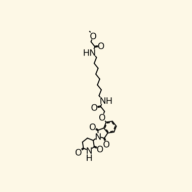 COCC(=O)NCCCCCCCCNC(=O)COc1cccc2c1C(=O)N(C1CCC(=O)NC1=O)C2=O